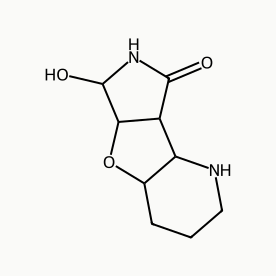 O=C1NC(O)C2OC3CCCNC3C12